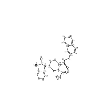 NC(=O)C1CC(n2c(=O)[nH]c3ccccc32)CCN1C(=O)[CH]Cc1ccc2ccccc2c1